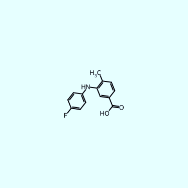 Cc1ccc(C(=O)O)cc1Nc1ccc(F)cc1